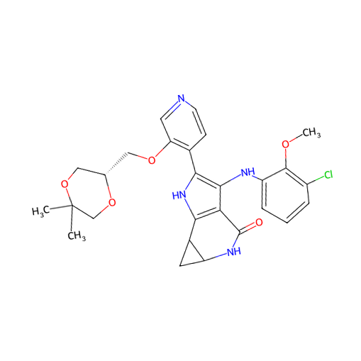 COc1c(Cl)cccc1Nc1c(-c2ccncc2OC[C@H]2COC(C)(C)CO2)[nH]c2c1C(=O)NC1CC21